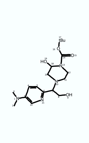 CN(C)c1ccc(C(CO)N2CCN(C(=O)OC(C)(C)C)C(O)C2)nc1